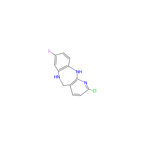 Clc1ccc2c(n1)Nc1ccc(I)cc1NC2